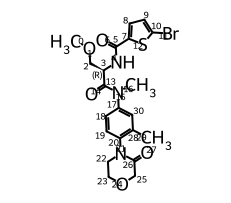 COC[C@@H](NC(=O)c1ccc(Br)s1)C(=O)N(C)c1ccc(N2CCOCC2=O)c(C)c1